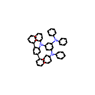 c1ccc(-c2ccc(-c3ccccc3)c(N(c3ccccc3)c3cc(N(c4ccccc4)c4ccccc4)cc(N(c4ccccc4)c4ccccc4)c3)c2)cc1